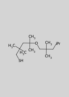 CC(C)CC(C)(C)COC(C)(C)CC(C)(C)CS